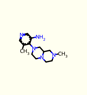 Cc1cncc(N)c1N1CCN2CCN(C)CC2C1